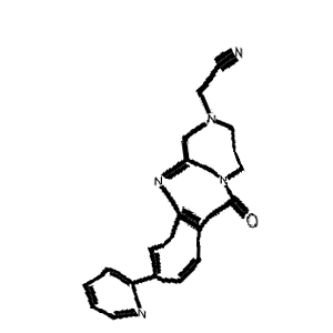 N#CCN1CCn2c(nc3cc(-c4ccccn4)ccc3c2=O)C1